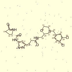 O=C(CSc1nnc(NC(=O)[C@@H]2CCC(=O)N2)s1)NCC1CN(Cc2ccc(Cl)c(Cl)c2)CCO1